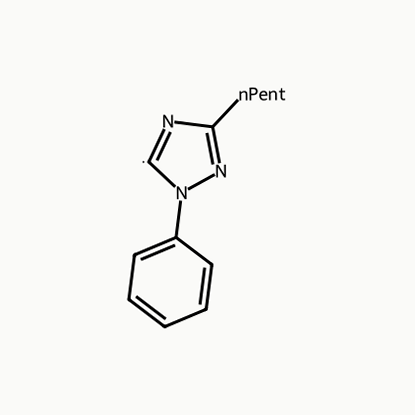 CCCCCc1n[c]n(-c2ccccc2)n1